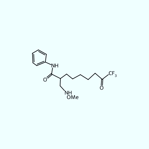 CONCC(CCCCCC(=O)C(F)(F)F)C(=O)Nc1ccccc1